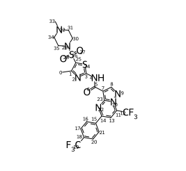 Cc1nc(NC(=O)c2cnn3c(C(F)(F)F)cc(-c4ccc(C(F)(F)F)cc4)nc23)sc1S(=O)(=O)N1CCN(C)CC1